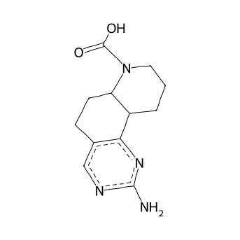 Nc1ncc2c(n1)C1CCCN(C(=O)O)C1CC2